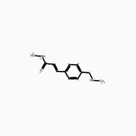 CNCc1ccc(/C=C/C(=O)NO)cc1